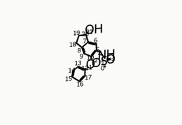 CS(=O)(=O)Nc1cc2c(cc1Oc1ccccc1)CCC2O